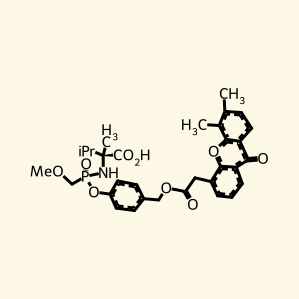 COCP(=O)(N[C@](C)(C(=O)O)C(C)C)Oc1ccc(COC(=O)Cc2cccc3c(=O)c4ccc(C)c(C)c4oc23)cc1